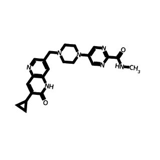 CNC(=O)c1ncc(N2CCN(Cc3cnc4cc(C5CC5)c(=O)[nH]c4c3)CC2)cn1